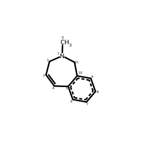 CN1CC=Cc2ccccc2C1